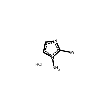 CC(C)c1nccn1N.Cl